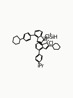 CC1=Cc2c(-c3ccc(C4CCCCC4)cc3)cccc2[CH]1[Zr]([Cl])([Cl])([CH]1C(C2CCCCC2)=Cc2c(-c3ccc(C(C)C)cc3)cccc21)[SiH](C)C